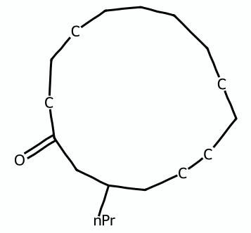 CCCC1CCCCCCCCCCCCC(=O)C1